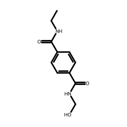 CCNC(=O)c1ccc(C(=O)NCO)cc1